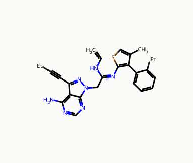 C=CN/C(Cn1nc(C#CCC)c2c(N)ncnc21)=N\c1scc(C)c1-c1ccccc1C(C)C